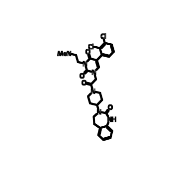 CNCCn1c(=O)c(-c2cccc(Cl)c2Cl)cn(CC(=O)N2CCC(N3CCc4ccccc4NC3=O)CC2)c1=O